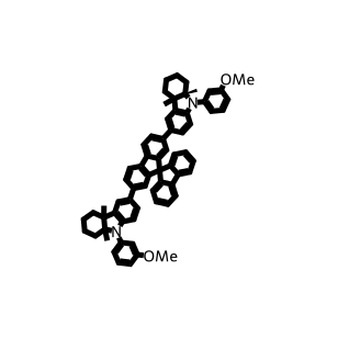 COc1cccc(N2c3ccc(-c4ccc5c(c4)C4(c6ccccc6-c6ccccc64)c4cc(-c6ccc7c(c6)C6(C)CCCC[C@]6(C)N7c6cccc(OC)c6)ccc4-5)cc3C3(C)CCCCC23C)c1